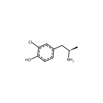 C[C@@H](N)Cc1ccc(O)c(Cl)c1